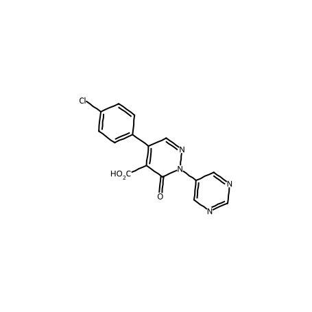 O=C(O)c1c(-c2ccc(Cl)cc2)cnn(-c2cncnc2)c1=O